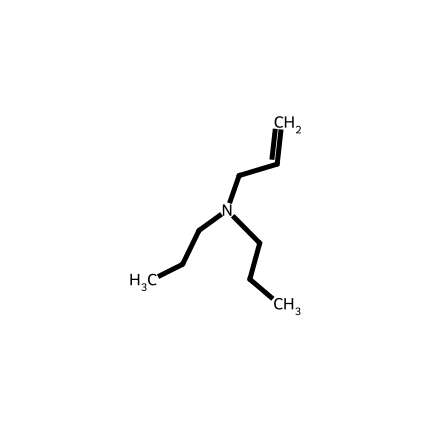 C=CCN(CCC)CCC